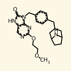 COCCOc1ncc2[nH]c(=O)n(Cc3ccc(CC4CC5CCC(C4)N5)cc3)c2n1